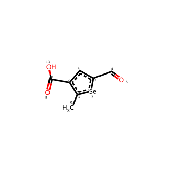 Cc1[se]c(C=O)cc1C(=O)O